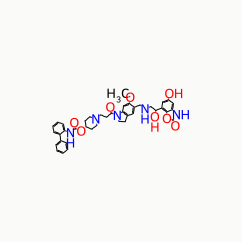 COc1cc2c(cc1CNC[C@H](O)c1cc(O)cc3[nH]c(=O)oc13)CCN2C(=O)CCN1CCC(OC(=O)Nc2ccccc2-c2ccccc2)CC1